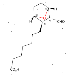 O=C[C@@H]1[C@@H](CCCCCCC(=O)O)[C@@H]2CC[C@H]1O2